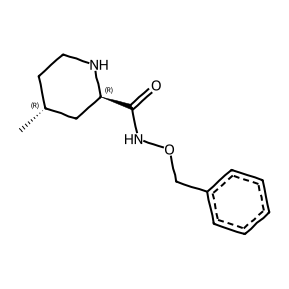 C[C@@H]1CCN[C@@H](C(=O)NOCc2ccccc2)C1